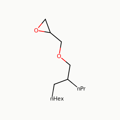 CCCCCCCC(CCC)COCC1CO1